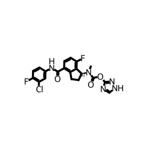 CN(C(=O)Oc1nc[nH]n1)[C@H]1CCc2c(C(=O)Nc3ccc(F)c(Cl)c3)ccc(F)c21